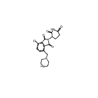 O=C1CCC(N2C(=O)c3c(Cl)ccc(CN4CCNCC4)c3C2=O)C(=O)N1